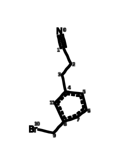 N#CCCc1cccc(CBr)c1